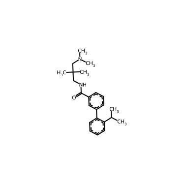 CC(C)c1ccccc1-c1cccc(C(=O)NCC(C)(C)CN(C)C)c1